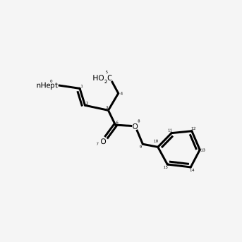 CCCCCCCC=CC(CC(=O)O)C(=O)OCc1ccccc1